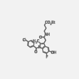 CCOC(=O)CCCNC(=O)Cc1c(C)n(C(=O)c2ccc(Cl)cc2)c2cc(F)c(O)cc12